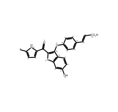 Cc1ccc(C(=O)c2sc3cc(O)ccc3c2Oc2ccc(/C=C/C(=O)O)cc2)[nH]1